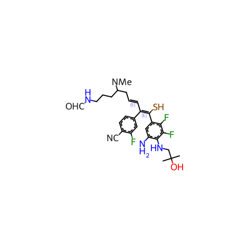 CNC(C/C=C/C(=C(\S)c1cc(N)c(NCC(C)(C)O)c(F)c1F)c1ccc(C#N)c(F)c1)CCCNC=O